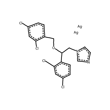 Clc1ccc(COC(Cn2ccnc2)c2ccc(Cl)cc2Cl)c(Cl)c1.[Ag].[Ag]